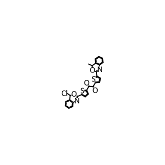 CC1OC(c2ccc(C(=O)C(=O)c3ccc(C4=Nc5ccccc5C(Cl)O4)s3)s2)=Nc2ccccc21